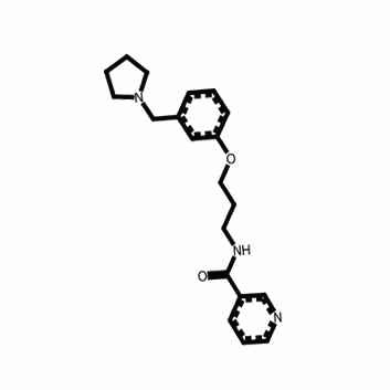 O=C(NCCCOc1cccc(CN2CCCC2)c1)c1cccnc1